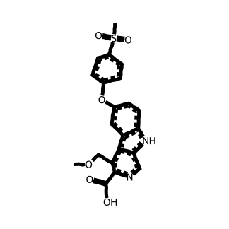 COCc1c(C(=O)O)ncc2[nH]c3ccc(Oc4ccc(S(C)(=O)=O)cc4)cc3c12